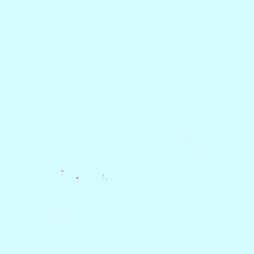 c1cc(-c2ccc(-c3ccc4ccccc4c3)cc2)cc(N(c2ccc(-c3ccc4c(c3)sc3ccccc34)cc2)c2ccccc2-c2cccc3c2oc2ccccc23)c1